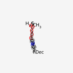 C=C(C)C(=O)OCCOCCOCCOc1ccc(N=Nc2ccc(CCCCCCCCCCCC)cc2)cc1